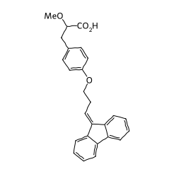 COC(Cc1ccc(OCCC=C2c3ccccc3-c3ccccc32)cc1)C(=O)O